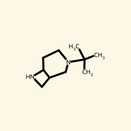 CC(C)(C)N1CCC2NCC2C1